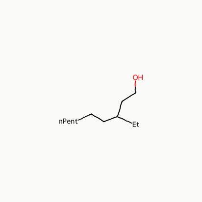 CCCCCCCC(CC)CCO